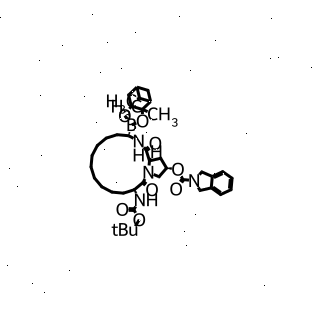 CC(C)(C)OC(=O)N[C@H]1CCCCCCCCC[C@H](B2OC3CC4CC(C4(C)C)C3(C)O2)NC(=O)[C@@H]2C[C@@H](OC(=O)N3Cc4ccccc4C3)CN2C1=O